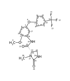 COc1ccc(Oc2ccc(C(F)(F)F)cc2)cc1NC(=O)[C@@H]1CNC(=O)N1C